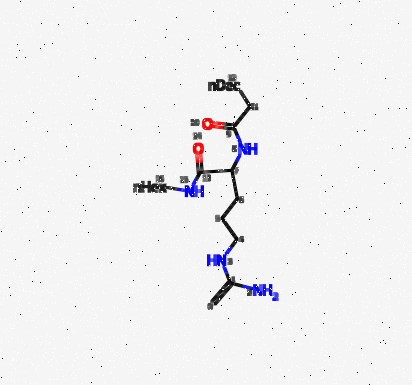 C=C(N)NCCCC(NC(=O)CCCCCCCCCCC)C(=O)NCCCCCC